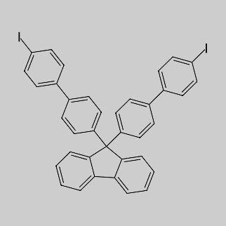 Ic1ccc(-c2ccc(C3(c4ccc(-c5ccc(I)cc5)cc4)c4ccccc4-c4ccccc43)cc2)cc1